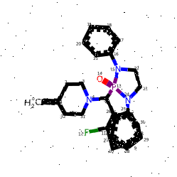 C=C1CCN(C(c2ccccc2F)P2(=O)N(c3ccccc3)CCN2c2ccccc2)CC1